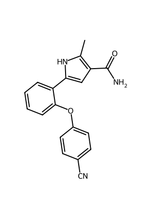 Cc1[nH]c(-c2ccccc2Oc2ccc(C#N)cc2)cc1C(N)=O